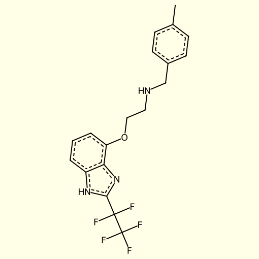 Cc1ccc(CNCCOc2cccc3[nH]c(C(F)(F)C(F)(F)F)nc23)cc1